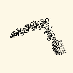 [O-]P([O-])(=S)[S-].[O-]P([O-])(=S)[S-].[O-]P([O-])(=S)[S-].[O-]P([O-])(=S)[S-].[O-]P([O-])(=S)[S-].[O-]P([O-])(=S)[S-].[Zn+2].[Zn+2].[Zn+2].[Zn+2].[Zn+2].[Zn+2].[Zn+2].[Zn+2].[Zn+2]